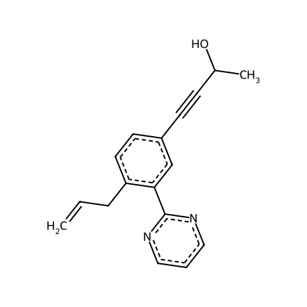 C=CCc1ccc(C#CC(C)O)cc1-c1ncccn1